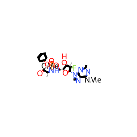 CNc1nc(C)nc2c1ncn2[C@@H]1O[C@H](COP(=O)(N[C@H](C)C(=O)OC)Oc2ccccc2)[C@@H](O)[C@@]1(C)F